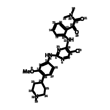 COc1cc(Nc2ncc(Cl)c(Nc3ccccc3C(=O)C(=O)N(C)C)n2)ccc1C1CCN(C)CC1